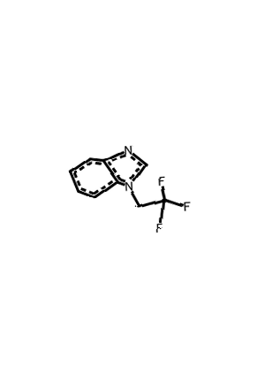 FC(F)(F)[CH]n1cnc2ccccc21